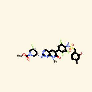 Cc1ccc(CS(=O)(=O)Nc2c(F)cc(-c3cc4cnc(N[C@H]5C[C@H](F)CN(C(=O)OC(C)(C)C)C5)nc4n(C(C)C)c3=O)c(F)c2F)c(Br)c1